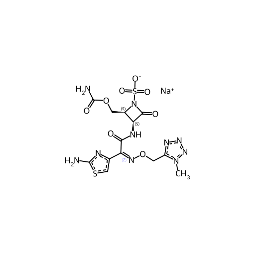 Cn1nnnc1CO/N=C(\C(=O)N[C@@H]1C(=O)N(S(=O)(=O)[O-])[C@@H]1COC(N)=O)c1csc(N)n1.[Na+]